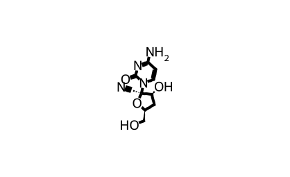 N#C[C@@]1(n2ccc(N)nc2=O)O[C@H](CO)C[C@H]1O